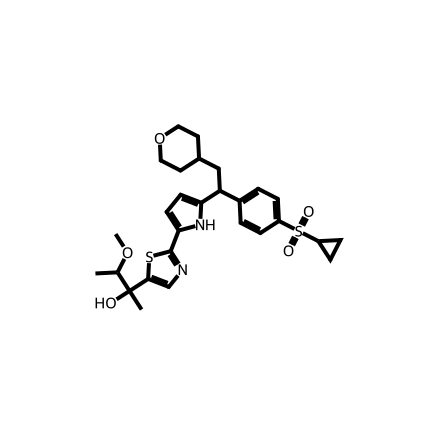 COC(C)C(C)(O)c1cnc(-c2ccc(C(CC3CCOCC3)c3ccc(S(=O)(=O)C4CC4)cc3)[nH]2)s1